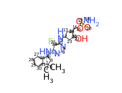 CC1(C)C[C@H](Nc2ncnc(NC3C[C@@H](COS(N)(=O)=O)[C@@H](O)C3)c2F)c2ccccc21